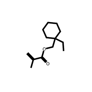 C=C(C)C(=O)OCC1(CC)CCCCC1